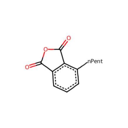 CCCCCc1cccc2c1C(=O)OC2=O